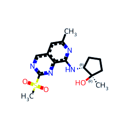 Cc1cc2cnc(S(C)(=O)=O)nc2c(N[C@@H]2CCC[C@@]2(C)O)n1